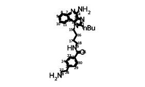 CCCCc1nc2c(N)nc3ccccc3c2n1CCCCNC(=O)c1ccc(CCN)cc1